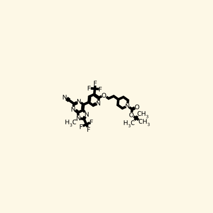 Cn1c(C(F)(F)F)nc2c(-c3cnc(OCCC4CCN(C(=O)OC(C)(C)C)CC4)c(C(F)(F)F)c3)nc(C#N)nc21